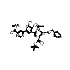 CNC(=O)c1cc(-c2cc([C@@H]3CN(C(=O)OC(C)(C)C)C[C@@H](COCc4ccccc4)N3C(C)=O)cc(Cl)n2)ncn1